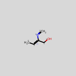 C=N/C(=C\C)CO